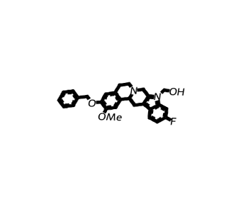 COc1cc2c(cc1OCc1ccccc1)CCN1Cc3c(c4ccc(F)cc4n3CO)CC21